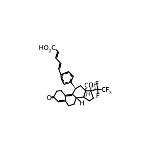 C[C@]12C[C@H](c3ccc(/C=C/C=C/C(=O)O)cc3)C3=C4CCC(=O)C=C4CC[C@H]3[C@@H]1CC[C@@]2(O)C(F)(F)C(F)(F)F